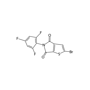 O=C1c2cc(Br)sc2C(=O)N1c1c(F)cc(F)cc1F